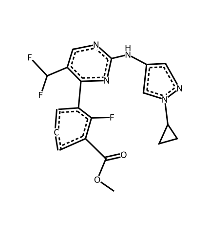 COC(=O)c1cccc(-c2nc(Nc3cnn(C4CC4)c3)ncc2C(F)F)c1F